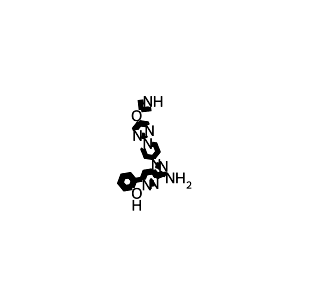 Nc1nn(C2CCN(c3ncc(OC4CNC4)cn3)CC2)c2cc(-c3ccccc3O)nnc12